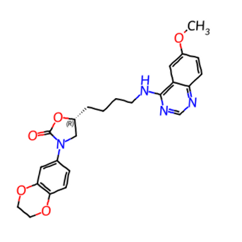 COc1ccc2ncnc(NCCCC[C@@H]3CN(c4ccc5c(c4)OCCO5)C(=O)O3)c2c1